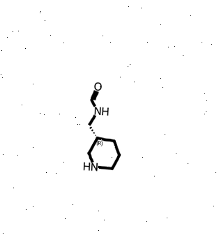 O=CNC[C@@H]1CCCNC1